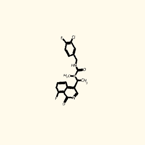 CC(C1=C2C=CCC(F)=C2C(=O)N=C1)N(C)C(=O)NCc1ccc(F)c(Cl)c1